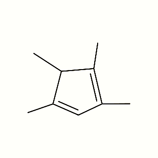 CC1=CC(C)=C(C)C1C